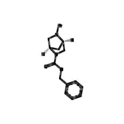 CC(C)N1C[C@H]2C[C@@H]1CN2C(=O)OCc1ccccc1